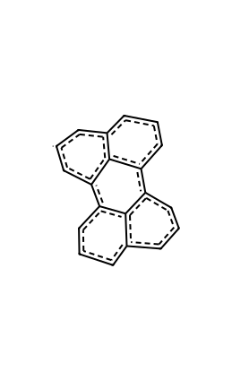 [c]1cc2cccc3c4cccc5cccc(c(c1)c23)c54